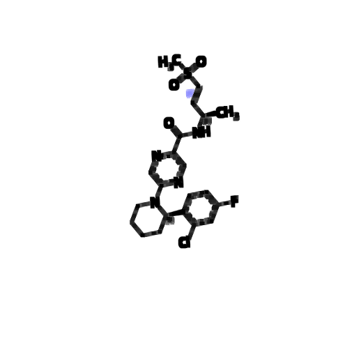 C[C@H](/C=C/S(C)(=O)=O)NC(=O)c1cnc(N2CCCC[C@@H]2c2ccc(F)cc2Cl)cn1